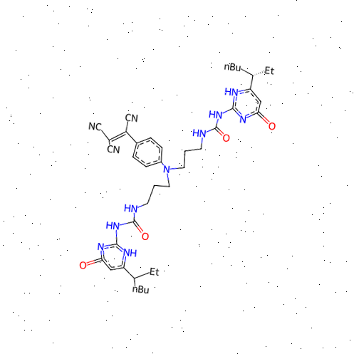 CCCCC(CC)c1cc(=O)nc(NC(=O)NCCCN(CCCNC(=O)Nc2nc(=O)cc([C@@H](CC)CCCC)[nH]2)c2ccc(C(C#N)=C(C#N)C#N)cc2)[nH]1